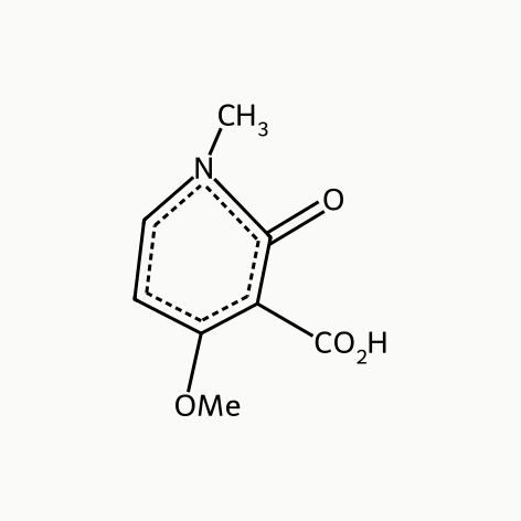 COc1ccn(C)c(=O)c1C(=O)O